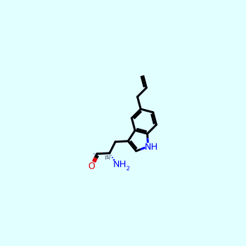 C=CCc1ccc2[nH]cc(C[C@H](N)[C]=O)c2c1